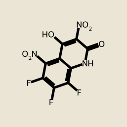 O=c1[nH]c2c(F)c(F)c(F)c([N+](=O)[O-])c2c(O)c1[N+](=O)[O-]